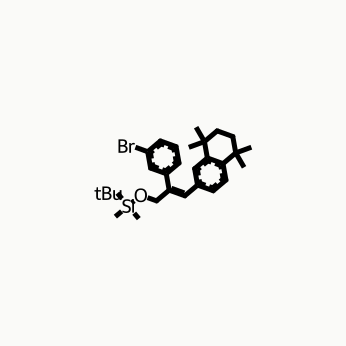 CC1(C)CCC(C)(C)c2cc(C=C(CO[Si](C)(C)C(C)(C)C)c3cccc(Br)c3)ccc21